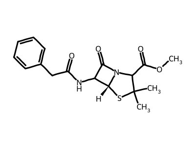 COC(=O)C1N2C(=O)C(NC(=O)Cc3ccccc3)[C@H]2SC1(C)C